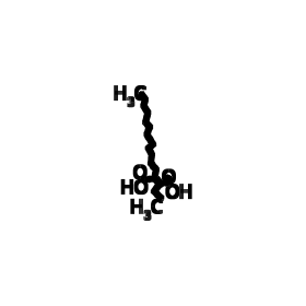 CCCCCCCCCCCCC(C(=O)O)=C(CCC)C(=O)O